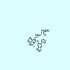 Nc1ncnc2c1nc(Sc1cc3c(cc1-c1ccco1)CN=N3)n2CCNCCC(=O)NO